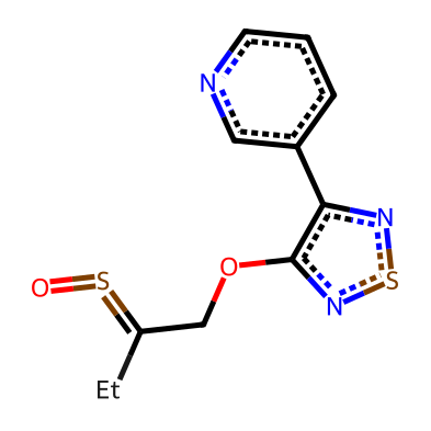 CCC(COc1nsnc1-c1cccnc1)=S=O